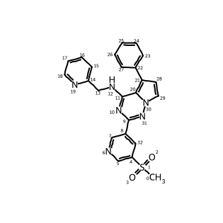 CS(=O)(=O)c1cncc(-c2nc(NCc3ccccn3)c3c(-c4ccccc4)ccn3n2)c1